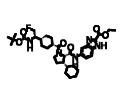 CCOC(=O)c1nc2cc(NC(=O)[C@@H]3[C@H](C4CCCCC4)CCN3C(=O)[C@H]3CC[C@@H]([C@H](CF)NC(=O)OC(C)(C)C)CC3)ccc2[nH]1